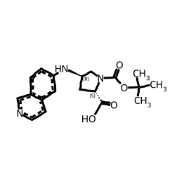 CC(C)(C)OC(=O)N1C[C@H](Nc2ccc3cnccc3c2)C[C@H]1C(=O)O